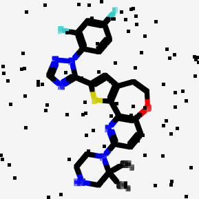 CC1(C)CNCCN1c1ccc2c(n1)-c1sc(-c3ncnn3-c3ccc(F)cc3F)cc1CCO2